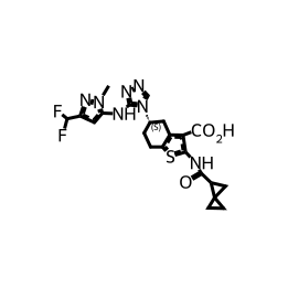 Cn1nc(C(F)F)cc1Nc1nncn1[C@H]1CCc2sc(NC(=O)C3CC34CC4)c(C(=O)O)c2C1